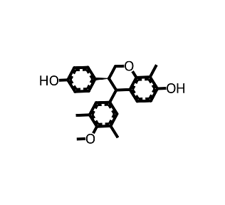 COc1c(C)cc(C2c3ccc(O)c(C)c3OC[C@@H]2c2ccc(O)cc2)cc1C